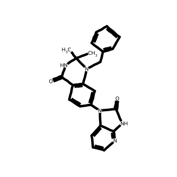 CC1(C)NC(=O)c2ccc(-n3c(=O)[nH]c4ncccc43)cc2N1Cc1ccccc1